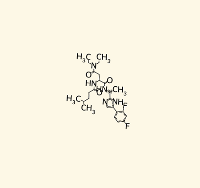 CCN(CC)C(=O)CC(NC(=O)CCC(C)C)C(=O)N[C@@H](C)c1ncc(-c2ccc(F)cc2F)[nH]1